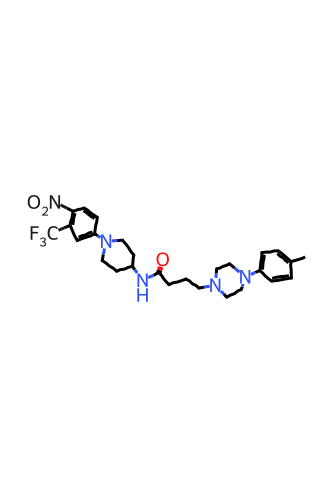 Cc1ccc(N2CCN(CCCC(=O)NC3CCN(c4ccc([N+](=O)[O-])c(C(F)(F)F)c4)CC3)CC2)cc1